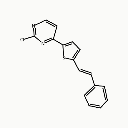 Clc1nccc(-c2ccc(/C=C/c3ccccc3)s2)n1